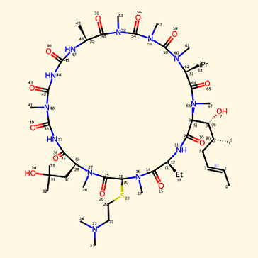 C/C=C/C[C@@H](C)[C@@H](O)[C@H]1C(=O)N[C@@H](CC)C(=O)N(C)[C@@H](SCCN(C)C)C(=O)N(C)[C@@H](CC(C)(C)O)C(=O)NC(=O)N(C)C(=O)NC(=O)N[C@@H](C)C(=O)N(C)C(=O)N(C)C(=O)N(C)[C@@H](C(C)C)C(=O)N1C